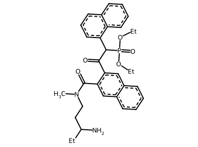 CCOP(=O)(OCC)C(C(=O)c1cc2ccccc2cc1C(=O)N(C)CCC(N)CC)c1cccc2ccccc12